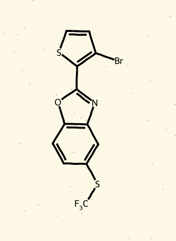 FC(F)(F)Sc1ccc2oc(-c3sccc3Br)nc2c1